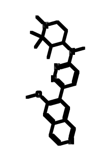 COc1cc2ccncc2cc1-c1ccc(N(C)C2CCN(C)C(C)(C)C2C)nn1